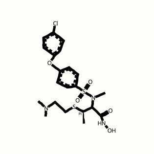 C[C@@H](SCCN(C)C)C(C(=O)NO)N(C)S(=O)(=O)c1ccc(Oc2ccc(Cl)cc2)cc1